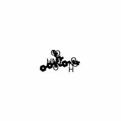 COC(=O)C[C@@H](CC(C)C)C(=O)NC(C(=O)NCc1ccc(CNC(=O)OC(C)(C)C)cc1)c1ccc(-c2ccccc2)cc1